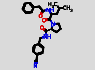 CC(C)CC(NC(=O)Cc1ccccc1)C(=O)N1CCC[C@H]1C(=O)NCc1ccc(C#N)cc1